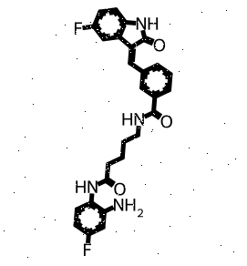 Nc1cc(F)ccc1NC(=O)CCCCNC(=O)c1cccc(C=C2C(=O)Nc3ccc(F)cc32)c1